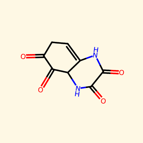 O=C1CC=C2NC(=O)C(=O)NC2C1=O